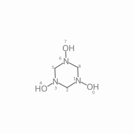 ON1CN(O)CN(O)C1